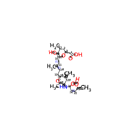 C=C1C[C@@H](CC(=O)O)O[C@H](/C=C/C(C)=C/C[C@@H]2O[C@H](C)[C@H](NC(=O)/C=C\[C@H](C)O)C[C@@H]2C)[C@@H]1O